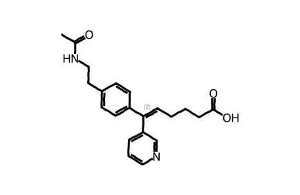 CC(=O)NCCc1ccc(/C(=C/CCCC(=O)O)c2cccnc2)cc1